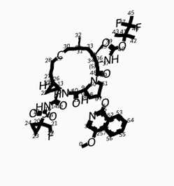 COc1cnc(O[C@@H]2C[C@H]3C(=O)N[C@]4(C(=O)NS(=O)(=O)C5(CF)CC5)C[C@H]4CCCC[C@@H](C)C[C@@H](C)[C@H](NC(=O)OC(C)(C)C(C)(F)F)C(=O)N3C2)c2ccccc12